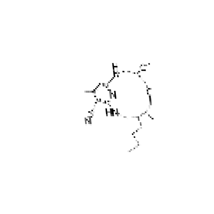 CCCCC1CNc2nc(cc(C)c2C#N)NCC(CC)CCCC1C